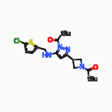 CC(C)(C)C(=O)N1CC(c2cc(NCc3ccc(Cl)s3)n(C(=O)C(C)(C)C)n2)C1